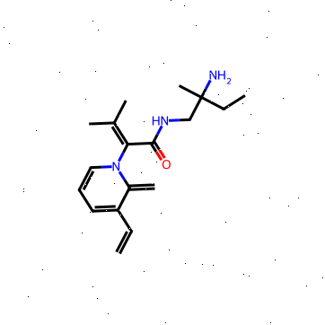 C=CC1=CC=CN(C(C(=O)NCC(C)(N)CC)=C(C)C)C1=C